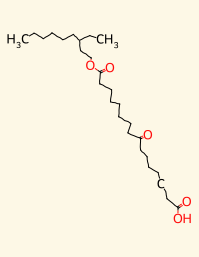 CCCCCCC(CC)CCOC(=O)CCCCCCCC(=O)CCCCCCCC(=O)O